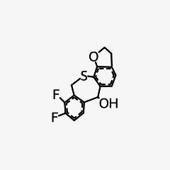 OC1c2ccc(F)c(F)c2CSc2c1ccc1c2OCC1